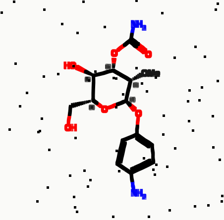 CO[C@@H]1[C@@H](Oc2ccc(N)cc2)O[C@H](CO)[C@@H](O)[C@@H]1OC(N)=O